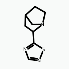 c1nsc(C2CC3CCN2C3)n1